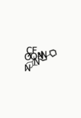 CN1CCC2C(C1)CN(c1ccc(-c3ccccc3)nn1)C2OC(=O)C(F)(F)F